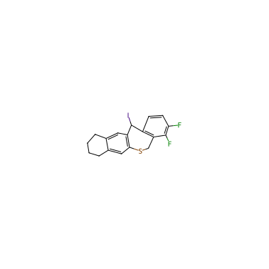 Fc1ccc2c(c1F)CSc1cc3c(cc1C2I)CCCC3